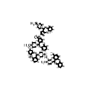 CN1CCN(C2=Nc3cc(Cl)ccc3Nc3ccccc32)CC1.CN1CCN(C2=Nc3ccccc3Oc3ccc(Cl)cc32)CC1.CN1CCN(C2=Nc3ccccc3Sc3ccc(Cl)cc32)CC1.Cc1cc2c(s1)Nc1ccccc1N=C2N1CCN(C)CC1